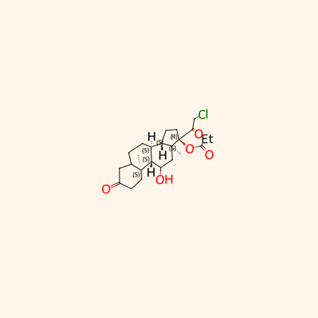 CCC(=O)O[C@]1(C(=O)CCl)CC[C@H]2[C@@H]3CCC4CC(=O)CC[C@]4(C)[C@H]3C(O)C[C@@]21C